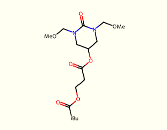 CCC(C)C(=O)OCCC(=O)OC1CN(COC)C(=O)N(COC)C1